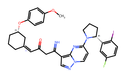 COc1ccc(O[C@H]2CCC/C(=C/C(=O)CC(=N)c3cnn4ccc(N5CCC[C@@H]5c5cc(F)ccc5I)nc34)C2)cc1